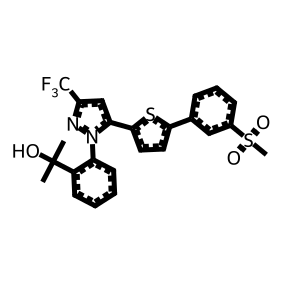 CC(C)(O)c1ccccc1-n1nc(C(F)(F)F)cc1-c1ccc(-c2cccc(S(C)(=O)=O)c2)s1